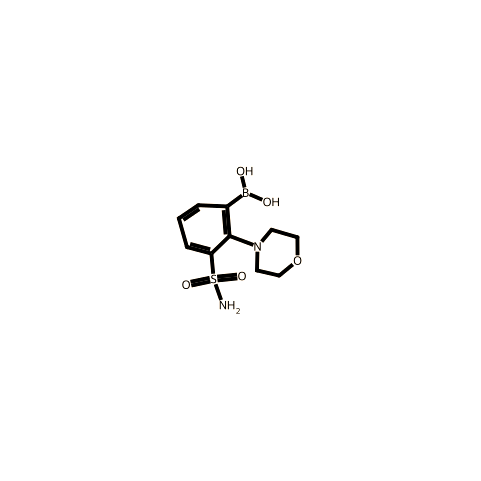 NS(=O)(=O)c1cccc(B(O)O)c1N1CCOCC1